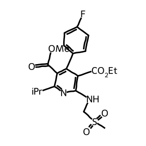 CCOC(=O)c1c(NCS(C)(=O)=O)nc(C(C)C)c(C(=O)OC)c1-c1ccc(F)cc1